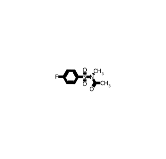 CC(=O)N(C)S(=O)(=O)c1ccc(F)cc1